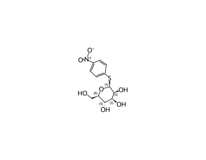 O=[N+]([O-])c1ccc(S[C@@H]2O[C@H](CO)[C@@H](O)[C@H](O)[C@@H]2O)cc1